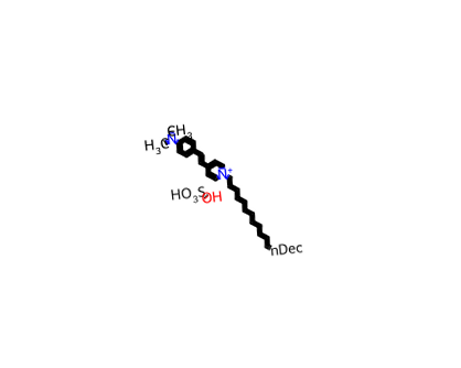 CCCCCCCCCCCCCCCCCCCCCC[n+]1ccc(C=Cc2ccc(N(C)C)cc2)cc1.O=S(=O)(O)O